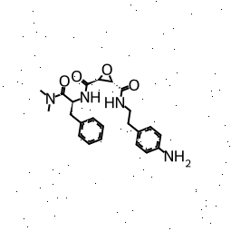 CN(C)C(=O)[C@H](Cc1ccccc1)NC(=O)[C@H]1O[C@@H]1C(=O)NCCc1ccc(N)cc1